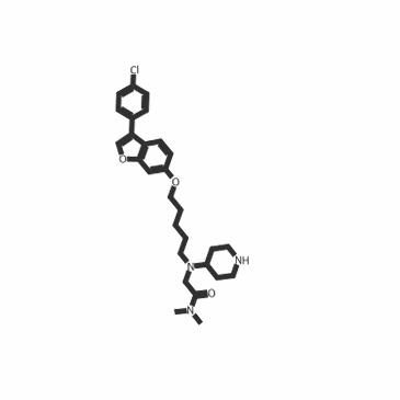 CN(C)C(=O)CN(CCCCCOc1ccc2c(-c3ccc(Cl)cc3)coc2c1)C1CCNCC1